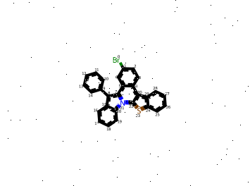 Brc1ccc2c(c1)c1c(-c3ccccc3)c3ccccc3n1c1sc3ccccc3c21